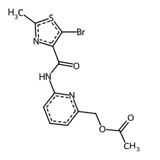 CC(=O)OCc1cccc(NC(=O)c2nc(C)sc2Br)n1